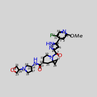 COc1cc(-c2cc(C(=O)N3CC[C@H](C(=O)N[C@H]4CCN(C5COC5)C4)CC34CC4)n[nH]2)c(F)cn1